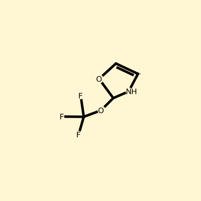 FC(F)(F)OC1N[C]=CO1